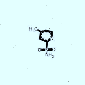 Cc1ccnc(S(N)(=O)=O)c1